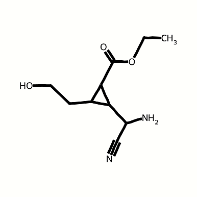 CCOC(=O)C1C(CCO)C1C(N)C#N